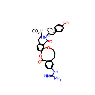 N=C(N)Nc1ccc2c(c1)CCCOc1c(ccc(CCC(=O)O)c1C(=O)N[C@@H](Cc1ccc(O)cc1)C(=O)O)OC2=O